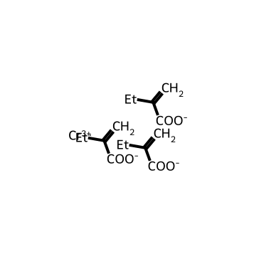 C=C(CC)C(=O)[O-].C=C(CC)C(=O)[O-].C=C(CC)C(=O)[O-].[Cr+3]